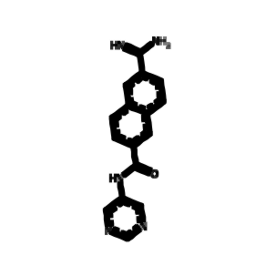 N=C(N)c1ccc2cc(C(=O)Nc3cncnc3)ccc2c1